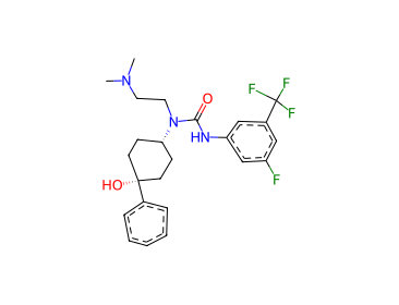 CN(C)CCN(C(=O)Nc1cc(F)cc(C(F)(F)F)c1)[C@H]1CC[C@](O)(c2ccccc2)CC1